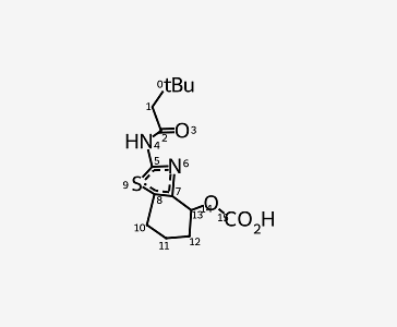 CC(C)(C)CC(=O)Nc1nc2c(s1)CCCC2OC(=O)O